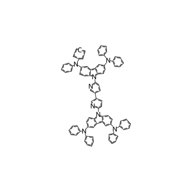 c1ccc(N(c2ccccc2)c2ccc3c(c2)c2cc(N(c4ccccc4)c4ccccc4)ccc2n3-c2ccc(-c3ccc(-n4c5ccc(N(c6ccccc6)c6ccccc6)cc5c5cc(N(c6ccccc6)c6ccccc6)ccc54)nc3)cn2)cc1